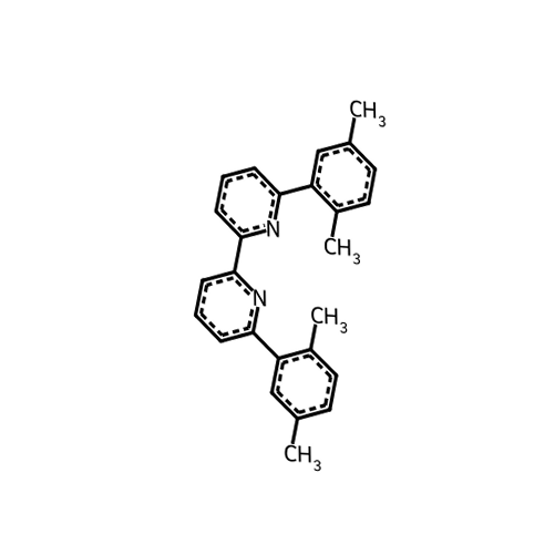 Cc1ccc(C)c(-c2cccc(-c3cccc(-c4cc(C)ccc4C)n3)n2)c1